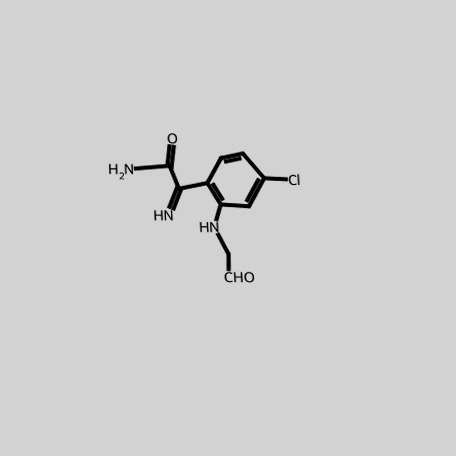 N=C(C(N)=O)c1ccc(Cl)cc1NCC=O